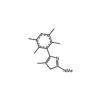 CNC1=NC(c2c(C)c(C)cc(C)c2C)=C(C)C1